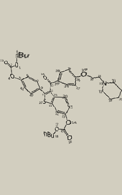 CCCCOC(=O)Oc1ccc(-c2sc3cc(OC(=O)OCCCC)ccc3c2C(=O)c2ccc(OCCN3CCCCC3)cc2)cc1